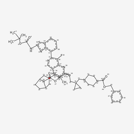 CC(C)(C)OC(=O)Nc1nc2c(-c3ncc4c(N5CC6CCC(C5)N6C(=O)OC(C)(C)C)nc(OCC5(CN6CCN(C(=O)OCc7ccccc7)CC6)CC5)nc4c3F)cccc2s1